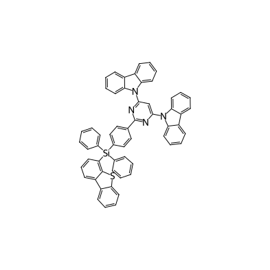 c1ccc([Si](c2ccccc2)(c2ccc(-c3nc(-n4c5ccccc5c5ccccc54)cc(-n4c5ccccc5c5ccccc54)n3)cc2)c2cccc3c2sc2ccccc23)cc1